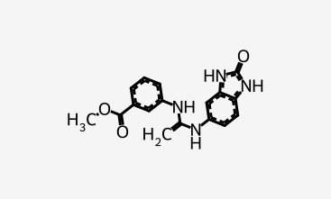 C=C(Nc1cccc(C(=O)OC)c1)Nc1ccc2[nH]c(=O)[nH]c2c1